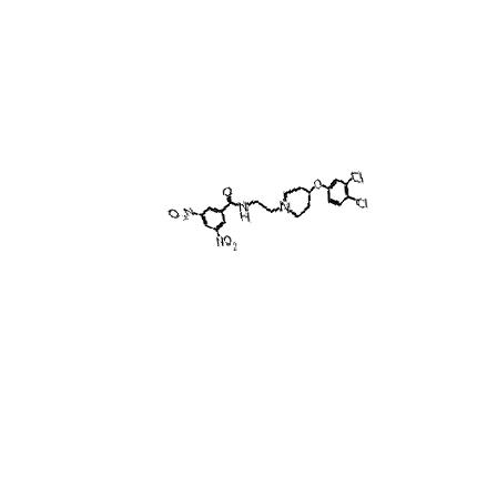 O=C(NCCN1CCC(Oc2ccc(Cl)c(Cl)c2)CC1)c1cc([N+](=O)[O-])cc([N+](=O)[O-])c1